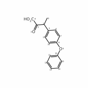 CC(C(=O)C(=O)O)c1ccc(Oc2ccccc2)cc1